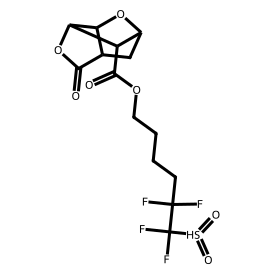 O=C1OC2C3OC(CC13)C2C(=O)OCCCCC(F)(F)C(F)(F)[SH](=O)=O